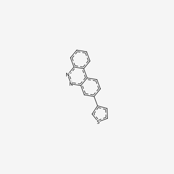 c1ccc2c(c1)nnc1cc(-c3ccsc3)ccc12